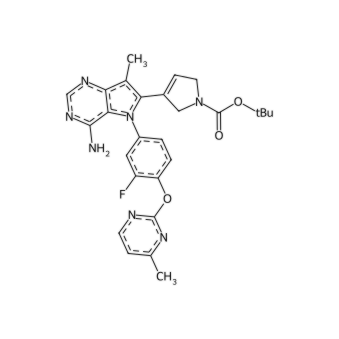 Cc1ccnc(Oc2ccc(-n3c(C4=CCN(C(=O)OC(C)(C)C)C4)c(C)c4ncnc(N)c43)cc2F)n1